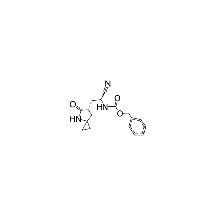 N#C[C@H](C[C@@H]1CC2(CC2)NC1=O)NC(=O)OCc1ccccc1